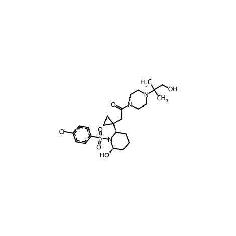 CC(C)(CO)N1CCN(C(=O)CC2([C@H]3CCC[C@@H](O)N3S(=O)(=O)c3ccc(Cl)cc3)CC2)CC1